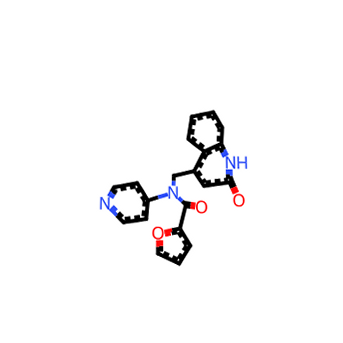 O=C(c1ccco1)N(Cc1cc(=O)[nH]c2ccccc12)c1ccncc1